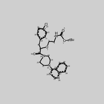 CC(C)(C)OC(=O)NCCOC(Cc1ccc(Cl)cc1)C(=O)N1CCN(c2ncnc3ccccc23)CC1